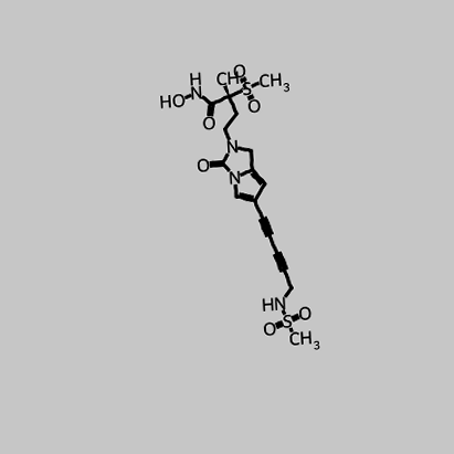 C[C@@](CCN1Cc2cc(C#CC#CCNS(C)(=O)=O)cn2C1=O)(C(=O)NO)S(C)(=O)=O